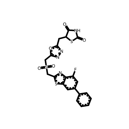 O=C1NC(=O)C(Cc2nnc(CS(=O)(=O)Cc3nc4c(F)cc(-c5ccccc5)cc4s3)o2)S1